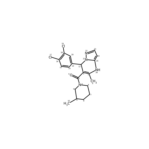 CC1=C(C(=O)N2CCCC(C)C2)C(c2ccc(Cl)c(Cl)c2)n2nccc2N1